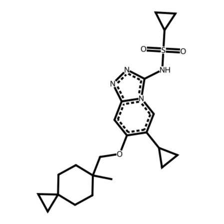 CC1(COc2cc3nnc(NS(=O)(=O)C4CC4)n3cc2C2CC2)CCC2(CC1)CC2